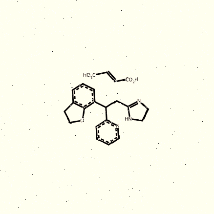 O=C(O)C=CC(=O)O.c1ccc(C(CC2=NCCN2)c2cccc3c2OCC3)nc1